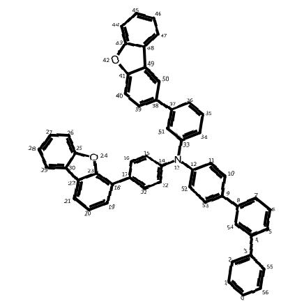 c1ccc(-c2cccc(-c3ccc(N(c4ccc(-c5cccc6c5oc5ccccc56)cc4)c4cccc(-c5ccc6oc7ccccc7c6c5)c4)cc3)c2)cc1